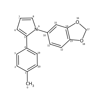 Cc1ccc(-c2c[c]cn2-c2ccc3c(c2)OCO3)cc1